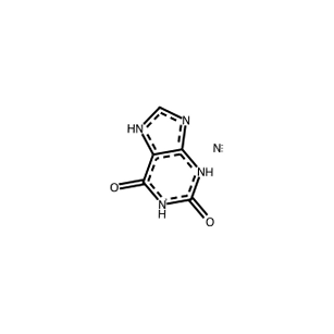 O=c1[nH]c(=O)c2[nH]cnc2[nH]1.[N]